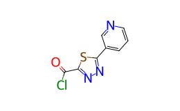 O=C(Cl)c1nnc(-c2cccnc2)s1